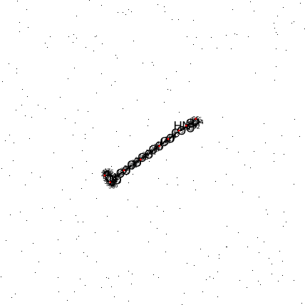 O=C(NCCOCCOCCOCCOCCOCCOCCOCCOCCOCCOCCOCCOCCC(=O)N1Cc2ccccc2C#Cc2ccccc21)OC1CC/C=C/CCC1